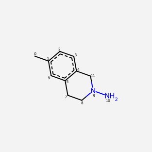 Cc1ccc2c(c1)CCN(N)C2